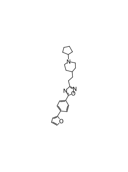 c1coc(-c2ccc(-c3nc(CCC4CCN(C5CCCC5)CC4)no3)cc2)c1